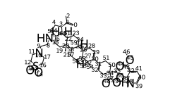 C=C(C)[C@@H]1CC[C@]2(NCCN3CCS(=O)(=O)CC3)CC[C@]3(C)[C@H](CC[C@@H]4[C@@]5(C)CC=C(C6=CC[C@@](COc7ncccc7C(=O)OC)(C(=O)O)CC6)C(C)(C)[C@@H]5CC[C@]43C)[C@@H]12